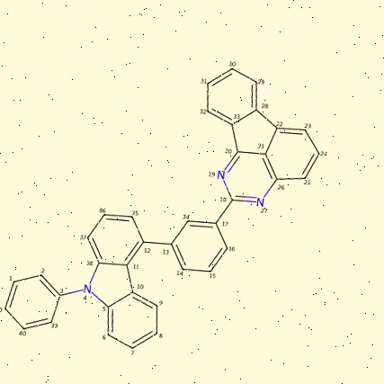 c1ccc(-n2c3ccccc3c3c(-c4cccc(-c5nc6c7c(cccc7n5)-c5ccccc5-6)c4)cccc32)cc1